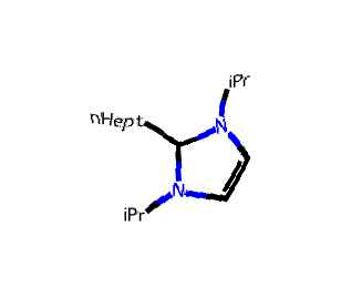 CCCCCCCC1N(C(C)C)C=CN1C(C)C